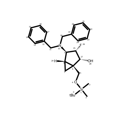 CC(C)(C)[Si](C)(C)OC[C@@]12C[C@@H]1[C@@H](N(Cc1ccccc1)Cc1ccccc1)[C@H](F)[C@@H]2O